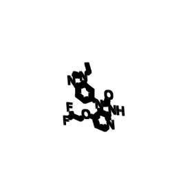 CCn1cnc2ccc(-n3c(=O)[nH]c4nccc(OCC(F)F)c43)cc21